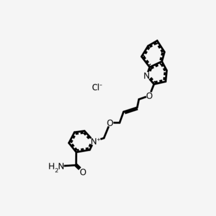 NC(=O)c1ccc[n+](COCC=CCOc2ccc3ccccc3n2)c1.[Cl-]